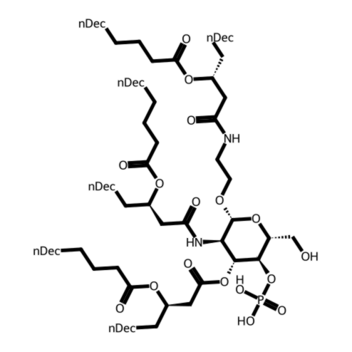 CCCCCCCCCCCCCC(=O)O[C@H](CCCCCCCCCCC)CC(=O)NCCO[C@@H]1O[C@H](CO)[C@@H](OP(=O)(O)O)[C@H](OC(=O)C[C@@H](CCCCCCCCCCC)OC(=O)CCCCCCCCCCCCC)[C@H]1NC(=O)C[C@@H](CCCCCCCCCCC)OC(=O)CCCCCCCCCCCCC